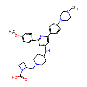 COc1ccc(-c2cc(NC3CCN(CC4CCN4C(=O)O)CC3)cc(-c3ccc(N4CCN(C)CC4)cc3)n2)cc1